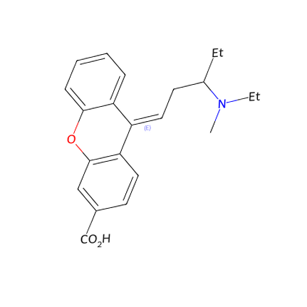 CCC(C/C=C1\c2ccccc2Oc2cc(C(=O)O)ccc21)N(C)CC